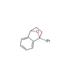 CC(C)C12CCC(O1)c1ccccc12